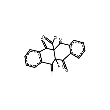 NC12C(=O)c3ccccc3C(=O)C1(C(=O)Cl)C(=O)c1ccccc1C2=O